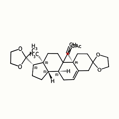 C#CC12CC[C@]3(C)[C@@H](C4(C)OCCO4)CC[C@H]3[C@@H]1CC=C1CC3(CC[C@@]12COC(C)=O)OCCO3